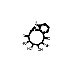 O=C1c2nc3c(cccc3[nH]2)C(=O)C(O)C(O)C(O)C1O